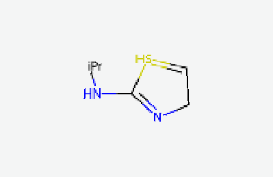 CC(C)NC1=NCC=[SH]1